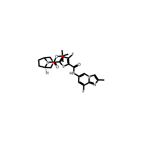 Cc1cn2cc(NC(=O)c3sc(N4CC5CC[C@H](C4)N5C(=O)OC(C)(C)C)cc3F)cc(F)c2n1